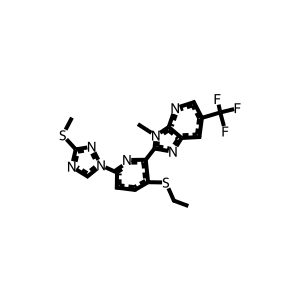 CCSc1ccc(-n2cnc(SC)n2)nc1-c1nc2cc(C(F)(F)F)cnc2n1C